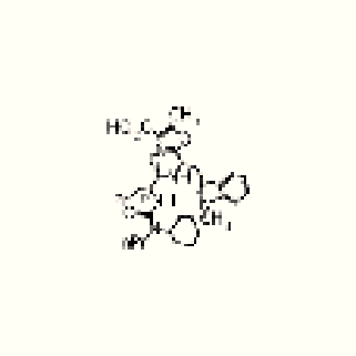 CCCN(C(=O)N[C@@H](CC(C)C)C(=O)N[C@H](Cc1cn(C)c2ccccc12)c1nc(C(=O)O)c(C)o1)C1CCCCC1